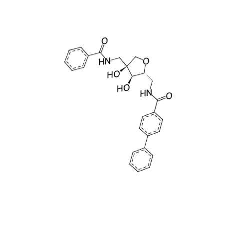 O=C(NC[C@H]1OC[C@@](O)(CNC(=O)c2ccccc2)[C@@H]1O)c1ccc(-c2ccccc2)cc1